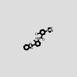 Cc1c(NC(=O)c2cc(-n3cnnc3)ccc2Cl)cccc1-c1nc2ccccc2s1